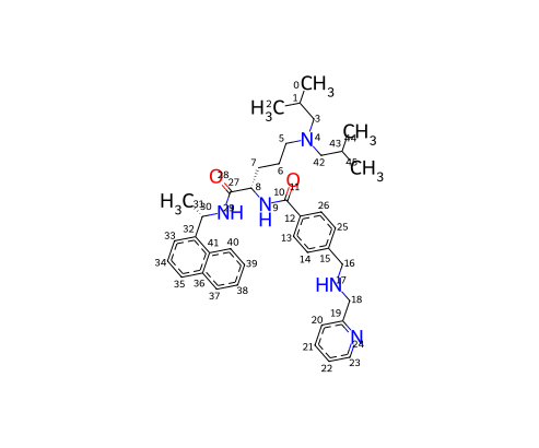 CC(C)CN(CCC[C@H](NC(=O)c1ccc(CNCc2ccccn2)cc1)C(=O)N[C@@H](C)c1cccc2ccccc12)CC(C)C